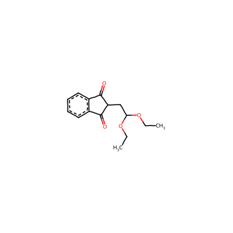 CCOC(CC1C(=O)c2ccccc2C1=O)OCC